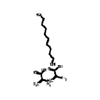 C=C(C)C(=O)O.C=C(C)C(=O)O.OCCCCCCCCCO